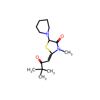 CN1C(=O)C(N2CCCCC2)S/C1=C\C(=O)C(C)(C)C